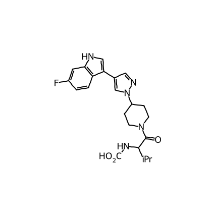 CC(C)C(NC(=O)O)C(=O)N1CCC(n2cc(-c3c[nH]c4cc(F)ccc34)cn2)CC1